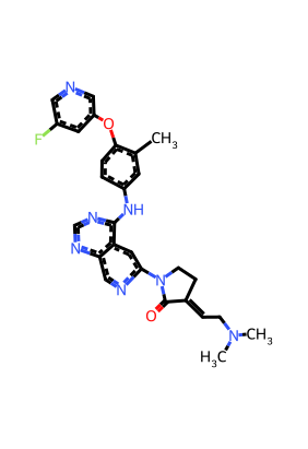 Cc1cc(Nc2ncnc3cnc(N4CC/C(=C\CN(C)C)C4=O)cc23)ccc1Oc1cncc(F)c1